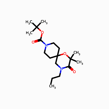 CCCN1CC2(CCN(C(=O)OC(C)(C)C)CC2)OC(C)(C)C1=O